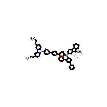 CCCc1ccc2c(c1)c1cc(CCC)ccc1n2-c1ccc(-c2ccc(-c3ccc(N(c4ccc5c(c4)C(C)(C)c4ccccc4-5)c4ccc(-c5ccccc5)cc4-c4ccccc4)cc3)cc2)cc1